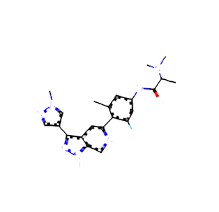 Cc1cc(NC(=O)C(C)N(C)C)cc(F)c1-c1cc2c(-c3cnn(C)c3)n[nH]c2cn1